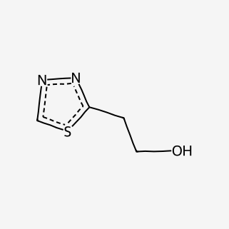 OCCc1nncs1